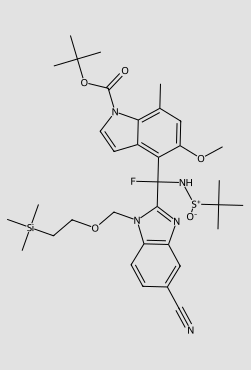 COc1cc(C)c2c(ccn2C(=O)OC(C)(C)C)c1C(F)(N[S+]([O-])C(C)(C)C)c1nc2cc(C#N)ccc2n1COCC[Si](C)(C)C